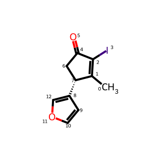 CC1=C(I)C(=O)C[C@H]1c1ccoc1